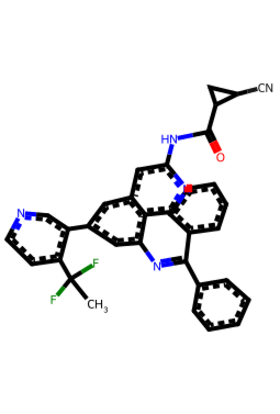 CC(F)(F)c1ccncc1-c1cc(N=C(c2ccccc2)c2ccccc2)c2cnc(NC(=O)C3CC3C#N)cc2c1